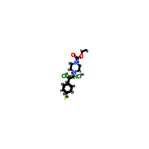 CCOC(=O)N1CCN(CC(Cl)c2ccc(F)cc2)CC1.Cl